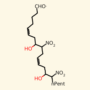 CCCCCC(C(O)C/C=C\CC(C(O)C/C=C\CCC[C]=O)[N+](=O)[O-])[N+](=O)[O-]